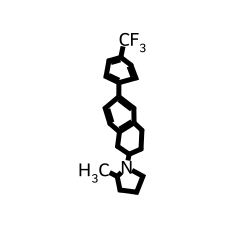 CC1CCCN1C1CCc2cc(-c3ccc(C(F)(F)F)cc3)ccc2C1